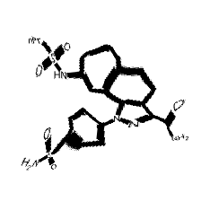 CCCS(=O)(=O)Nc1ccc2c(c1)-c1c(c(C(N)=O)nn1-c1ccc(S(N)(=O)=O)cc1)CC2